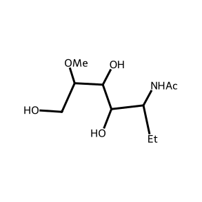 CCC(NC(C)=O)C(O)C(O)C(CO)OC